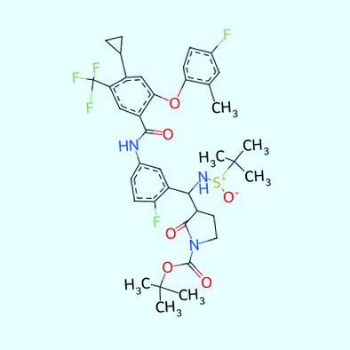 Cc1cc(F)ccc1Oc1cc(C2CC2)c(C(F)(F)F)cc1C(=O)Nc1ccc(F)c(C(N[S+]([O-])C(C)(C)C)C2CCN(C(=O)OC(C)(C)C)C2=O)c1